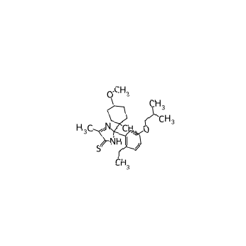 CCc1ccc(OCC(C)C)cc1C1(C2(C)CCC(OC)CC2)N=C(C)C(=S)N1